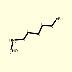 CCCCCCCCCN[C]=O